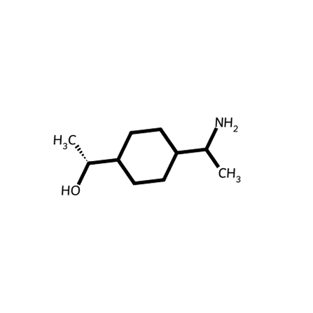 CC(N)C1CCC([C@@H](C)O)CC1